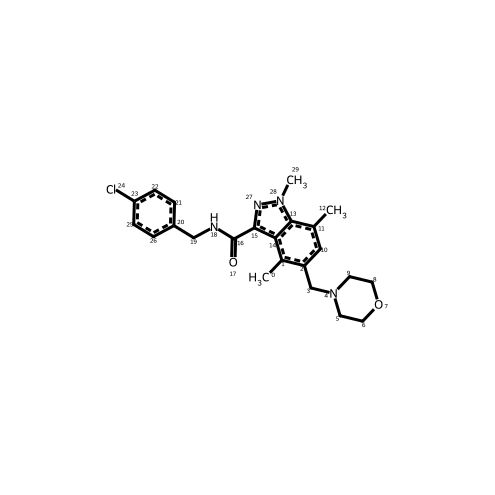 Cc1c(CN2CCOCC2)cc(C)c2c1c(C(=O)NCc1ccc(Cl)cc1)nn2C